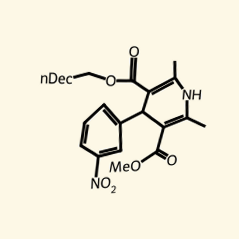 CCCCCCCCCCCOC(=O)C1=C(C)NC(C)=C(C(=O)OC)C1c1cccc([N+](=O)[O-])c1